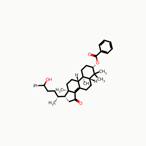 CC(C)C(O)CC[C@@H](C)[C@H]1CC(=O)C2=C3CC[C@H]4C(C)(C)[C@@H](OC(=O)c5ccccc5)CC[C@]4(C)[C@H]3CC[C@@]21C